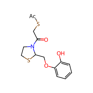 CC(=O)SCC(=O)N1CCSC1COc1ccccc1O